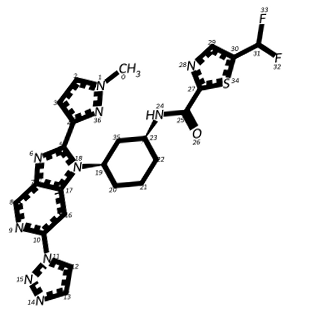 Cn1ccc(-c2nc3cnc(-n4ccnn4)cc3n2[C@@H]2CCC[C@H](NC(=O)c3ncc(C(F)F)s3)C2)n1